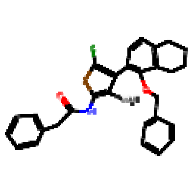 O=C(Cc1ccccc1)Nc1sc(Cl)c(-c2ccc3c(c2OCc2ccccc2)CCCC3)c1C(=O)O